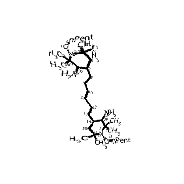 CCCCCON1C(C)(C)CC(CCCCCCC2CC(C)(C)N(OCCCCC)C(C)(C)C2N)C(N)C1(C)C